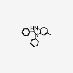 CC1=CC2=C(CC1)NC(c1ccccc1)N2C1=CC=CCC1